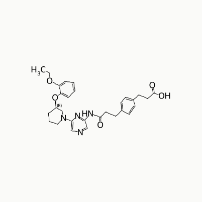 CCOc1ccccc1O[C@@H]1CCCN(c2cncc(NC(=O)CCc3ccc(CCC(=O)O)cc3)n2)C1